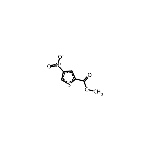 COC(=O)c1[c]c([N+](=O)[O-])cs1